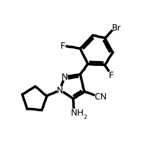 N#Cc1c(-c2c(F)cc(Br)cc2F)nn(C2CCCC2)c1N